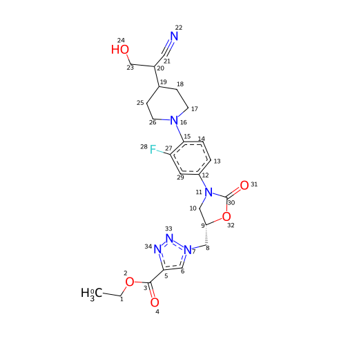 CCOC(=O)c1cn(C[C@@H]2CN(c3ccc(N4CCC(C(C#N)CO)CC4)c(F)c3)C(=O)O2)nn1